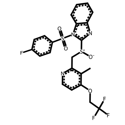 Cc1c(OCC(F)(F)F)ccnc1C[S+]([O-])c1nc2ccccc2n1S(=O)(=O)c1ccc(F)cc1